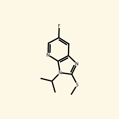 CSc1nc2cc(F)cnc2n1C(C)C